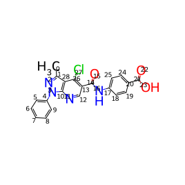 Cc1nn(-c2ccccc2)c2ncc(C(=O)Nc3ccc(C(=O)O)cc3)c(Cl)c12